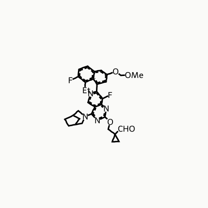 CCc1c(F)ccc2cc(OCOC)cc(-c3ncc4c(N5CC6CCC(C6)C5)nc(OCC5(C=O)CC5)nc4c3F)c12